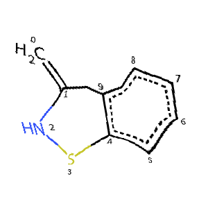 C=C1NSc2ccccc21